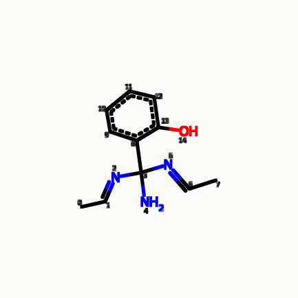 CC=NC(N)(N=CC)c1ccccc1O